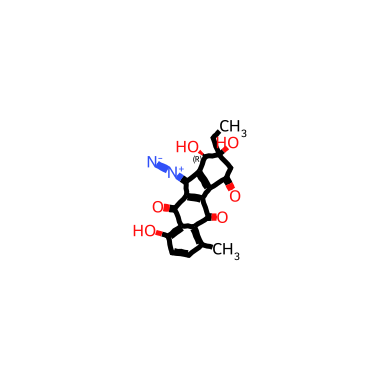 CCC1(O)CC(=O)c2c(c(=[N+]=[N-])c3c(=O)c4c(O)ccc(C)c4c(=O)c2=3)[C@H]1O